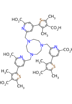 Cc1sc(-c2cc(CN3CCN(Cc4cc(-c5sc(C)c(C(=O)O)c5C)cc(C(=O)O)n4)CCN(Cc4cc(-c5sc(C)c(C(=O)O)c5C)cc(C(=O)O)n4)CC3)nc(C(=O)O)c2)c(C)c1C(=O)O